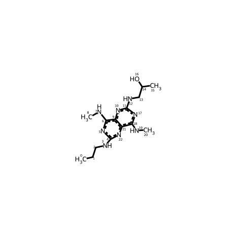 CCCNc1nc(NC)c2nc(NCC(C)O)nc(NC)c2n1